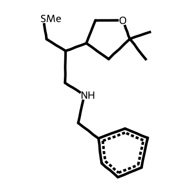 CSCC(CNCc1ccccc1)C1COC(C)(C)C1